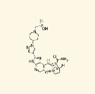 CC[C@H](O)CN1CCC(n2cc(-c3nc4c(N[C@H]5[C@@H](C(N)=O)[C@@H]6C=C[C@H]5C6)c(Cl)cnc4[nH]3)cn2)CC1